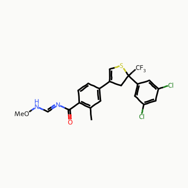 CONC=NC(=O)c1ccc(C2=CSC(c3cc(Cl)cc(Cl)c3)(C(F)(F)F)C2)cc1C